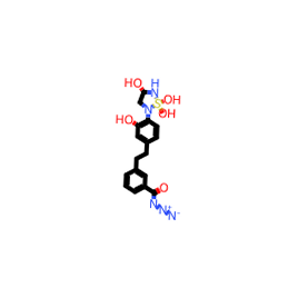 [N-]=[N+]=NC(=O)c1cccc(CCc2ccc(N3CC(O)NS3(O)O)c(O)c2)c1